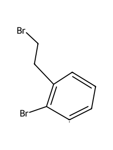 BrCCc1ccc[c]c1Br